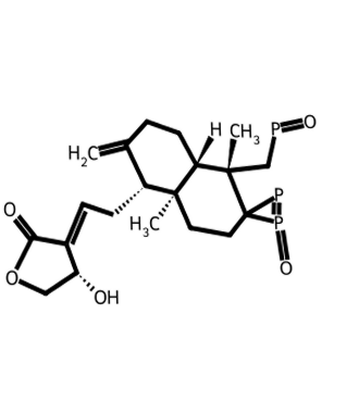 C=C1CC[C@H]2[C@@](C)(CCC3(P=P3=O)[C@@]2(C)CP=O)[C@@H]1C/C=C1/C(=O)OC[C@H]1O